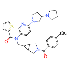 CC(C)(C)c1ccc(C(=O)N2CC3C(C2)C3CN(C(=O)c2cccs2)c2ccc(N3CCC(N4CCCC4)C3)nc2)cc1